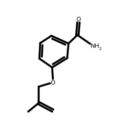 C=C(C)COc1cccc(C(N)=O)c1